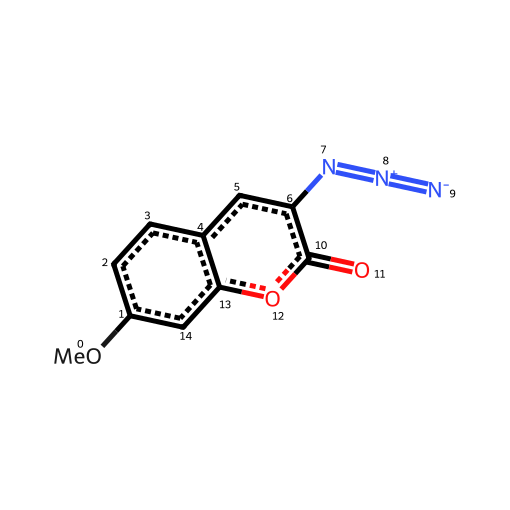 COc1ccc2cc(N=[N+]=[N-])c(=O)oc2c1